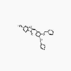 O=C1C(=Cc2ccc(OCc3ccccc3)c(OCc3ccccc3)c2)Oc2cc(O)ccc21